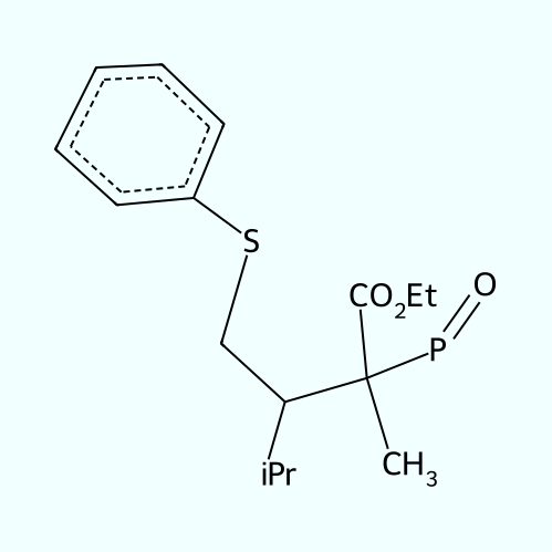 CCOC(=O)C(C)(P=O)C(CSc1ccccc1)C(C)C